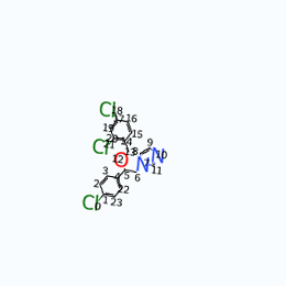 Clc1ccc(C(Cn2ccnc2)OCc2ccc(Cl)cc2Cl)cc1